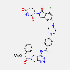 CO[C@@H](C(=O)N1Cc2[nH]nc(NC(=O)c3ccc(N4CCN(Cc5cc(F)c6c(c5)CN(C5CCC(=O)NC5=O)C6=O)CC4)cc3)c2C1)c1ccccc1